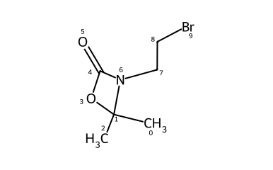 CC1(C)OC(=O)N1CCBr